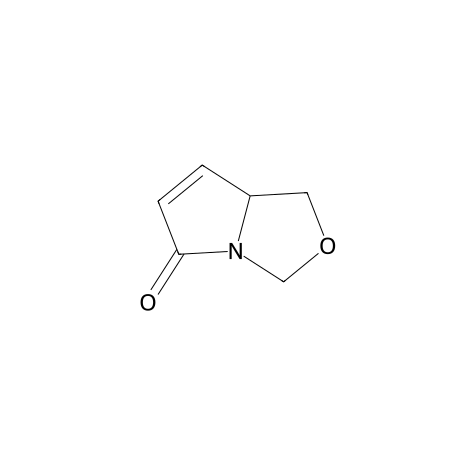 O=C1C=CC2COCN12